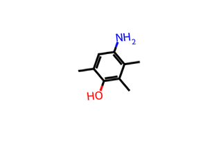 Cc1cc(N)c(C)c(C)c1O